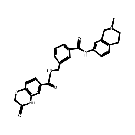 CN1CCc2ccc(NC(=O)c3cccc(CNC(=O)c4ccc5c(c4)NC(=O)CO5)c3)cc2C1